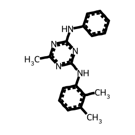 Cc1nc(Nc2ccccc2)nc(Nc2cccc(C)c2C)n1